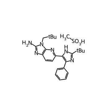 CC(C)(C)Cn1c(N)nc2ccc(-c3[nH]c(C(C)(C)C)nc3-c3ccccc3)nc21.CS(=O)(=O)O